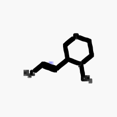 C/C=C/C1COCCN1C